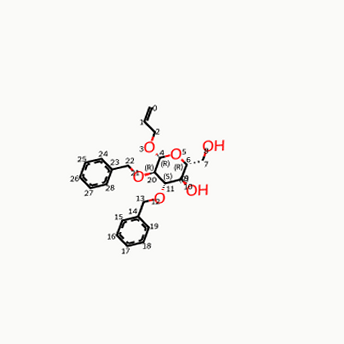 C=CCO[C@@H]1O[C@H](CO)[C@@H](O)[C@H](OCc2ccccc2)[C@H]1OCc1ccccc1